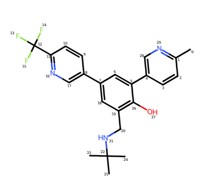 Cc1ccc(-c2cc(-c3ccc(C(F)(F)F)nc3)cc(CNC(C)(C)C)c2O)cn1